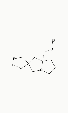 CCOC[C@]12CCCN1CC(CF)(CF)C2